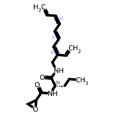 C=C\C=C/C=C/C=C(\C=C)CNC(=O)[C@H](CCC)NC(=O)C1CO1